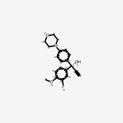 C#C[C@](O)(c1ccc(N2CCOCC2)cc1)c1ccc(OC)c(F)c1